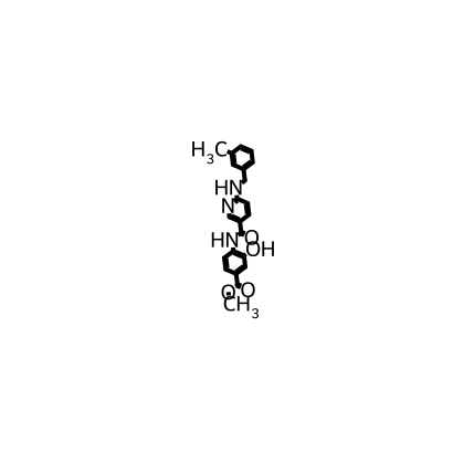 COC(=O)c1ccc(NC(=O)c2ccc(NCc3cccc(C)c3)nc2)c(O)c1